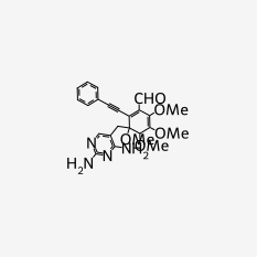 COC1=C(OC)C(OC)C(Cc2cnc(N)nc2N)(OC)C(C#Cc2ccccc2)=C1C=O